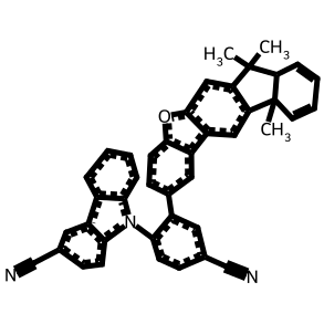 CC1(C)c2cc3oc4ccc(-c5cc(C#N)ccc5-n5c6ccccc6c6cc(C#N)ccc65)cc4c3cc2C2(C)C=CC=CC12